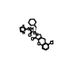 O=C(Nc1nccs1)[C@H](CC1CCCCC1)N1CC2=C(Oc3cccc(Cl)c3C2)C1=O